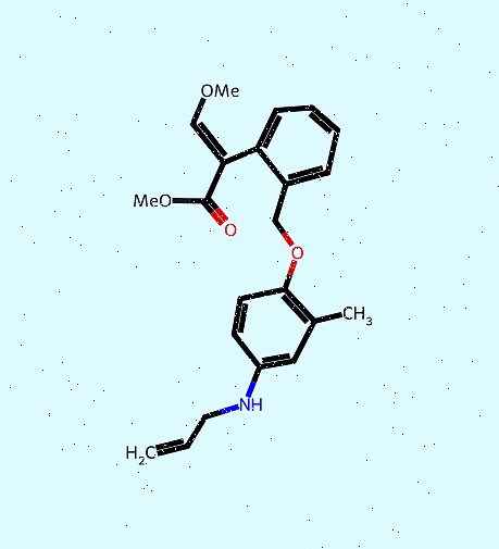 C=CCNc1ccc(OCc2ccccc2/C(=C\OC)C(=O)OC)c(C)c1